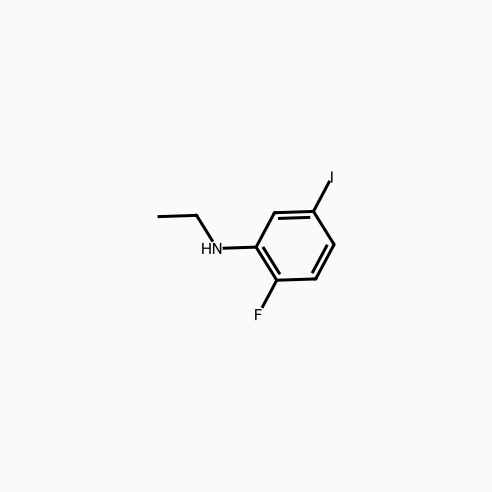 CCNc1cc(I)ccc1F